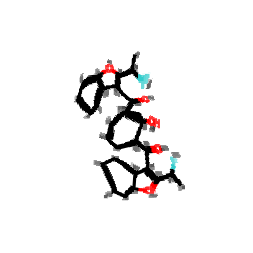 CC(F)c1oc2ccccc2c1C(=O)c1cccc(C(=O)c2c(C(C)F)oc3ccccc23)c1O